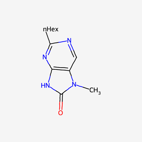 CCCCCCc1ncc2c(n1)[nH]c(=O)n2C